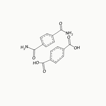 NC(=O)c1ccc(C(N)=O)cc1.O=C(O)c1ccc(C(=O)O)cc1